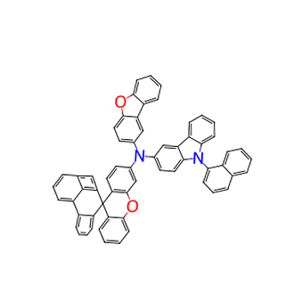 c1ccc2c(c1)Oc1cc(N(c3ccc4oc5ccccc5c4c3)c3ccc4c(c3)c3ccccc3n4-c3cccc4ccccc34)ccc1C21c2ccccc2-c2cccc3cccc1c23